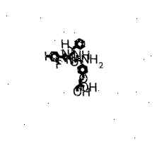 C[C@@H](c1ccccc1)[C@H](NC(=O)C(N)c1ccc(OCC(O)CO)cc1)c1ncc(-c2ccc(I)cc2F)[nH]1